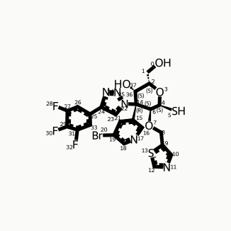 OC[C@@H]1O[C@@H](S)[C@@H](OCc2cncs2)[C@](c2cncc(Br)c2)(n2cc(-c3cc(F)c(F)c(F)c3)nn2)[C@@H]1O